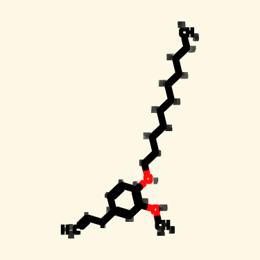 C=CCc1ccc(OCCCCCCCCCCC)c(OC)c1